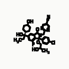 CCC(O)(c1cc(F)c2c(c1)C(=O)N(Cc1ncc(C#N)cn1)[C@@]2(OCC(C)O)c1ccc(Cl)cc1)[C@H]1CC[C@H](O)CC1